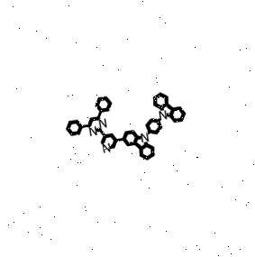 c1ccc(-c2cc(-c3ccccc3)nc(-c3cncc(-c4ccc5c(c4)c4ccccc4n5-c4ccc(-n5c6ccccc6c6ccccc65)cc4)c3)n2)cc1